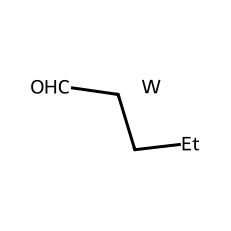 CCCCC=O.[W]